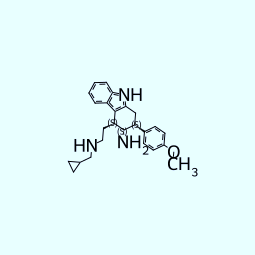 COc1ccc([C@@H]2Cc3[nH]c4ccccc4c3[C@H](CCNCC3CC3)[C@H]2N)cc1